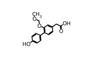 COCOc1cc(CC(=O)O)ccc1-c1ccc(O)cc1